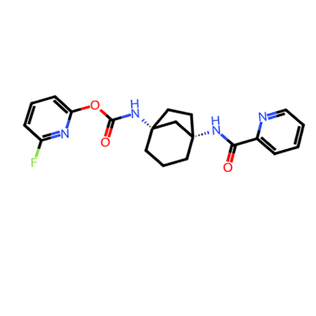 O=C(N[C@]12CCC[C@](NC(=O)c3ccccn3)(CC1)C2)Oc1cccc(F)n1